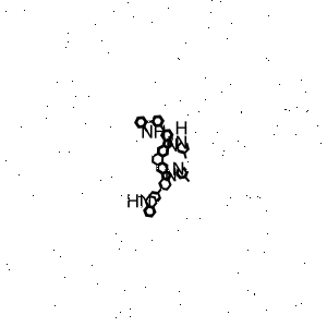 CC1=CC(n2c3ccc(-c4cccc(-c5ccccc5N)c4)cc3c3cc4c(cc32)-c2cc3c(cc2CC4)c2c(n3-c3cc(C)ccn3)CCC(C3=CC4CC(=C3)c3ccccc3N4)=C2)NC=C1